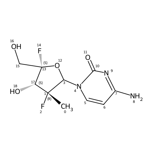 C[C@]1(F)C(n2ccc(N)nc2=O)O[C@](F)(CO)[C@H]1O